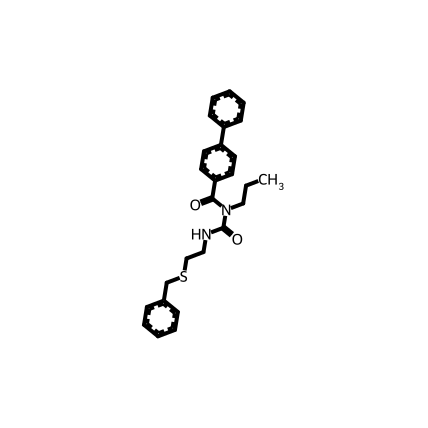 CCCN(C(=O)NCCSCc1ccccc1)C(=O)c1ccc(-c2ccccc2)cc1